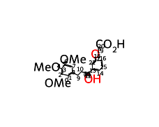 COc1cc(OC)c(OC)cc1CC[C@@H](O)c1cccc(OCC(=O)O)c1